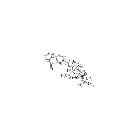 C[C@H]1OC(=O)[C@]2(C(C)(C)C(=O)OC(C)(C)C)CC(F)(F)[C@@H](C)[C@H](/C=C/c3ccc(-c4ccccc4C#N)cn3)[C@H]12